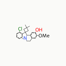 COc1cc2c(cc1O)C(C1(c3ccccc3Cl)CC(C)(C)C1)N(C)CC2